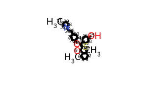 Cc1cccc(C)c1C(=O)c1sc2cc(O)ccc2c1Oc1ccc(CCN2CCC(C)C2)cc1